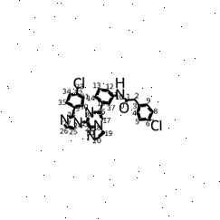 O=C(Cc1ccc(Cl)cc1)Nc1cccc(-c2cn3ccnc3c(-n3ccnc3-c3ccc(Cl)cc3)n2)c1